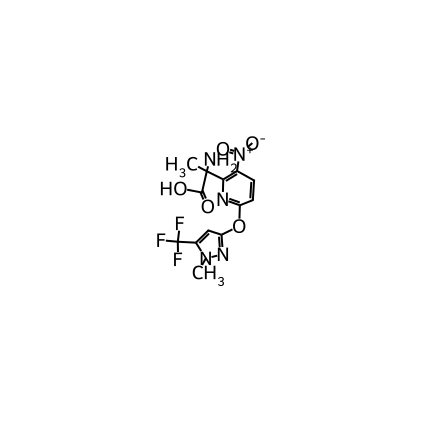 Cn1nc(Oc2ccc([N+](=O)[O-])c(C(C)(N)C(=O)O)n2)cc1C(F)(F)F